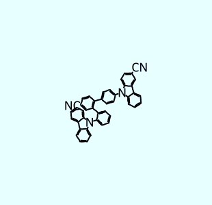 N#Cc1ccc(-c2ccc(-n3c4ccccc4c4cc(C#N)ccc43)cc2)c(-c2ccccc2-n2c3ccccc3c3ccccc32)c1